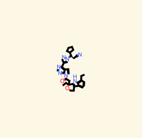 CCc1cccc2c3c([nH]c12)C(CC)(CC(=O)n1ccc2c(-c4cnn([C@H](CC#N)C5CCCC5)c4)ncnc21)OCC3